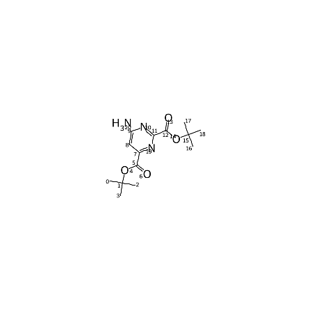 CC(C)(C)OC(=O)c1ccnc(C(=O)OC(C)(C)C)n1.N